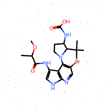 COC(C)C(=O)Nc1c[nH]c2ncc(Br)c(N3CCC(NC(=O)O)C3C(C)(C)C)c12